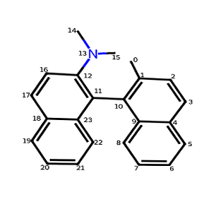 Cc1ccc2ccccc2c1-c1c(N(C)C)ccc2ccccc12